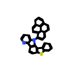 C1=CC2=C3C(=CC=C4C(n5c6cccnc6c6ccc7sc8ccccc8c7c65)=CC=C(C=C2)C43)C1